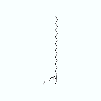 CCCCCCCCCCCCCCCCCCN(CC)CCCC